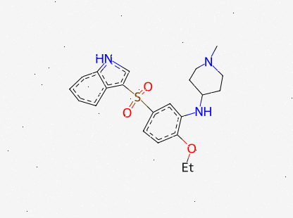 CCOc1ccc(S(=O)(=O)c2c[nH]c3ccccc23)cc1NC1CCN(C)CC1